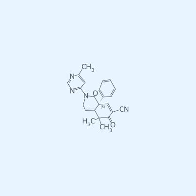 Cc1cc(N2CC=C3C(C)(C)C(=O)C(C#N)=C[C@]3(c3ccccc3)C2=O)ncn1